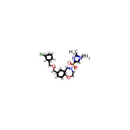 Cc1nc(S(=O)(=O)N2CCOc3ccc(COCc4cccc(F)c4)cc3C2)cn1C